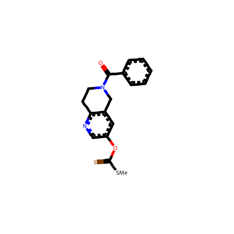 CSC(=S)Oc1cnc2c(c1)CN(C(=O)c1ccccc1)CC2